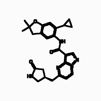 CC1(C)Cc2cc(NC(=O)c3cnn4ccc(C[C@H]5CNC(=O)C5)nc34)c(C3CC3)cc2O1